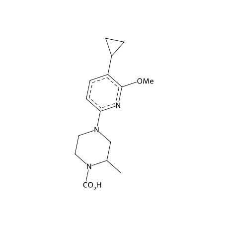 COc1nc(N2CCN(C(=O)O)C(C)C2)ccc1C1CC1